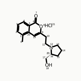 Cc1cccc2c(=O)oc(CCN3CCC[C@@H]3CO)cc12.Cl